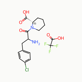 NC(Cc1ccc(Cl)cc1)C(=O)N1CCCC[C@H]1C(=O)O.O=C(O)C(F)(F)F